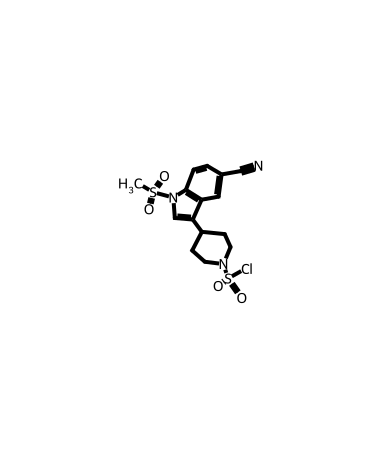 CS(=O)(=O)n1cc(C2CCN(S(=O)(=O)Cl)CC2)c2cc(C#N)ccc21